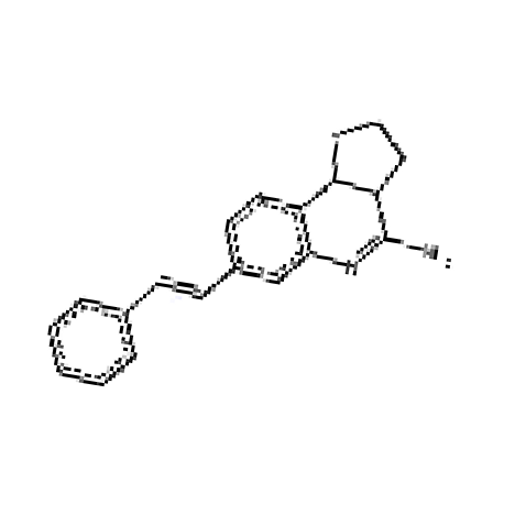 NC1=Nc2cc(/C=C/c3ccccc3)ccc2C2CCCC12